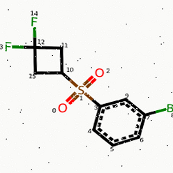 O=S(=O)(c1cccc(Br)c1)C1CC(F)(F)C1